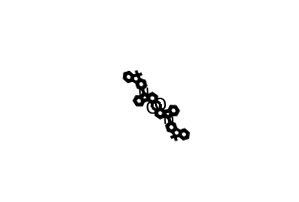 CC1(C)c2ccccc2-c2cc(-n3c4ccccc4c4c5c(ccc43)Oc3c(ccc4c3c3ccccc3n4-c3ccc4c(c3)-c3ccccc3C4(C)C)O5)ccc21